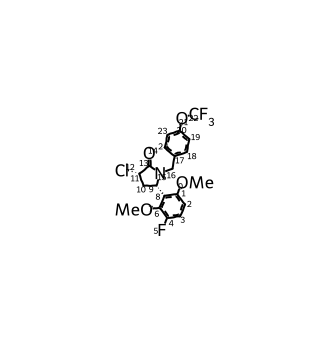 COc1ccc(F)c(OC)c1[C@@H]1C[C@H](Cl)C(=O)N1Cc1ccc(OC(F)(F)F)cc1